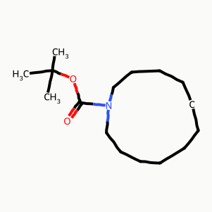 CC(C)(C)OC(=O)N1CCCCCCCCCCC1